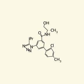 Cc1ccc(-c2cc(C(=O)N[C@@H](C)CO)cc(-n3nnnc3C(C)C)c2)c(Cl)c1